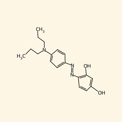 CCCN(CCC)c1ccc(N=Nc2ccc(O)cc2O)cc1